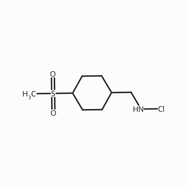 CS(=O)(=O)C1CCC(CNCl)CC1